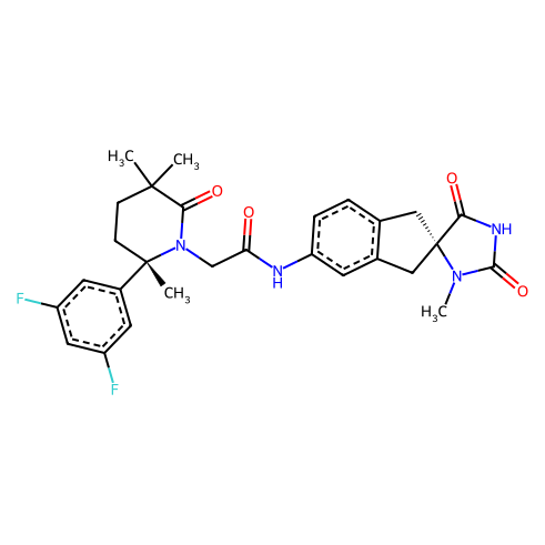 CN1C(=O)NC(=O)[C@@]12Cc1ccc(NC(=O)CN3C(=O)C(C)(C)CC[C@@]3(C)c3cc(F)cc(F)c3)cc1C2